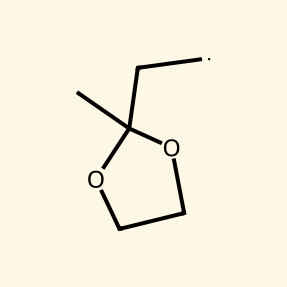 [CH2]CC1(C)OCCO1